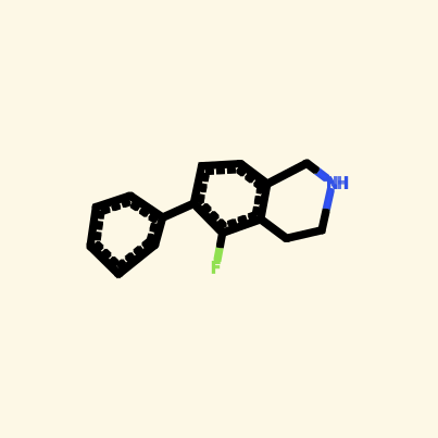 Fc1c(-c2ccccc2)ccc2c1CCNC2